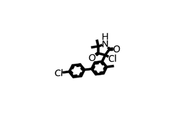 Cc1ccc(-c2ccc(Cl)cc2)cc1C1(Cl)C(=O)NC(C)(C)C1=O